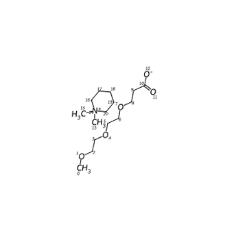 COCCOCCOCCC(=O)[O-].C[N+]1(C)CCCCC1